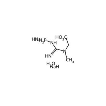 CN(CC(=O)O)C(=N)NP.O.[NaH].[NaH]